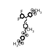 CC1(CCS(=O)(=O)c2ccc(S(C)(=O)=O)cc2)CCN(CC[C@H](c2ccc(S(C)(=O)=O)cc2)c2cc(F)cc(F)c2)CC1